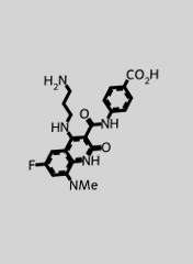 CNc1cc(F)cc2c(NCCCN)c(C(=O)Nc3ccc(C(=O)O)cc3)c(=O)[nH]c12